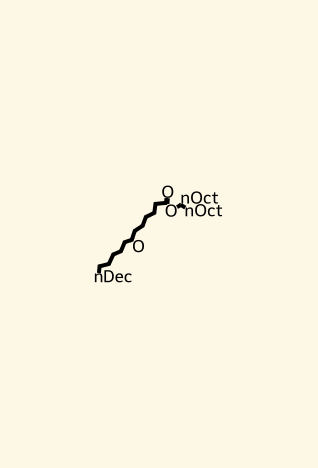 CCCCCCCCCCCCCCCC(=O)CCCCCC(=O)OC(CCCCCCCC)CCCCCCCC